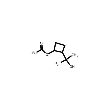 CCC(C)C(=O)OC1CCC1C(C)(C)O